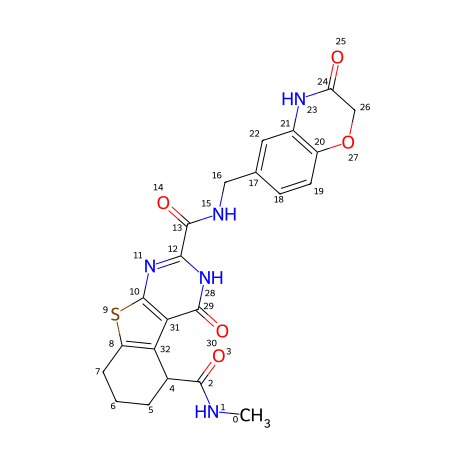 CNC(=O)C1CCCc2sc3nc(C(=O)NCc4ccc5c(c4)NC(=O)CO5)[nH]c(=O)c3c21